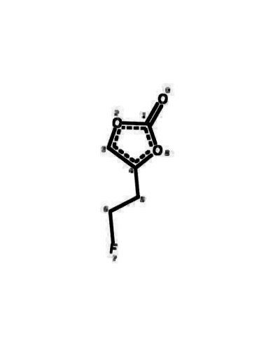 O=c1occ(CCF)o1